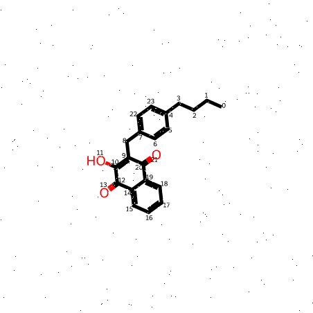 CCCCc1ccc(CC2=C(O)C(=O)c3ccccc3C2=O)cc1